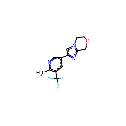 Cc1ncc(-c2cn3c(n2)COCC3)cc1C(F)(F)F